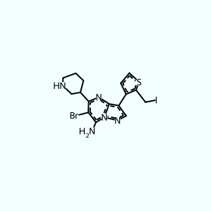 Nc1c(Br)c(C2CCCNC2)nc2c(-c3ccsc3CI)cnn12